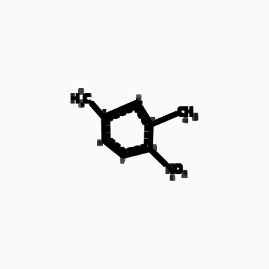 Cc1[c]c(C)c([N+](=O)[O-])cc1